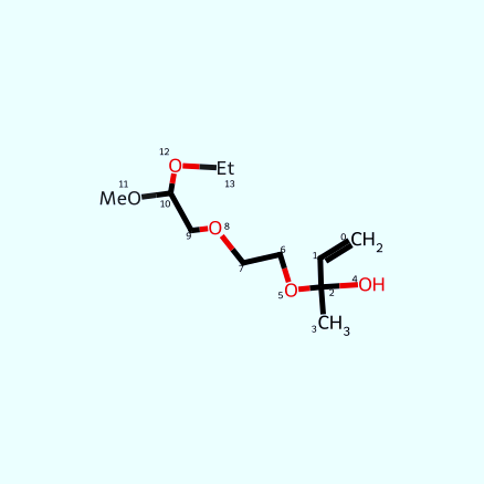 C=CC(C)(O)OCCOCC(OC)OCC